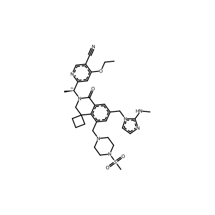 CCOc1cc([C@H](C)N2CC3(CCC3)c3c(CN4CCN(S(C)(=O)=O)CC4)cc(Cn4ccnc4NC)cc3C2=O)ncc1C#N